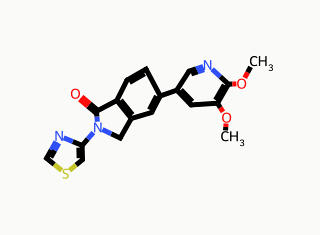 COc1cc(-c2ccc3c(c2)CN(c2cscn2)C3=O)cnc1OC